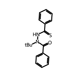 CC(C)(C)N(NC(=S)c1ccccc1)C(=O)c1ccccc1